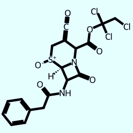 O=C=C1C[S+]([O-])[C@@H]2C(NC(=O)Cc3ccccc3)C(=O)N2C1C(=O)OC(Cl)(Cl)CCl